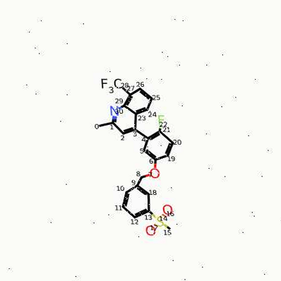 Cc1cc(-c2cc(OCc3cccc(S(C)(=O)=O)c3)ccc2F)c2cccc(C(F)(F)F)c2n1